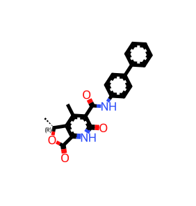 Cc1c2c([nH]c(=O)c1C(=O)Nc1ccc(-c3ccccc3)cc1)C(=O)O[C@@H]2C